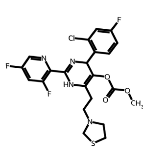 COC(=O)OC1=C(CCN2CCSC2)NC(c2ncc(F)cc2F)=NC1c1ccc(F)cc1Cl